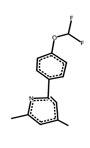 Cc1cc(C)nc(-c2ccc(OC(F)F)cc2)c1